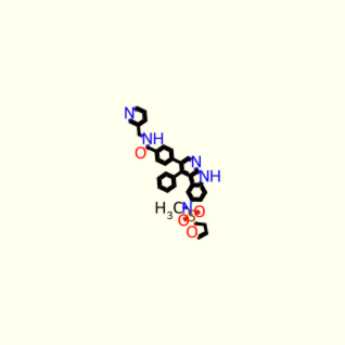 CN(c1ccc2[nH]c3ncc(-c4ccc(C(=O)NCc5cccnc5)cc4)c(-c4ccccc4)c3c2c1)S(=O)(=O)C1CC=CO1